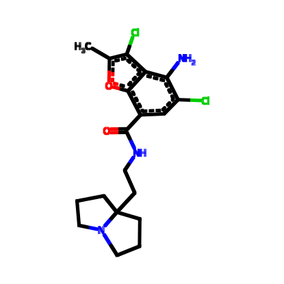 Cc1oc2c(C(=O)NCCC34CCCN3CCC4)cc(Cl)c(N)c2c1Cl